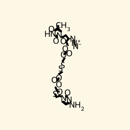 Cc1cn(C2C[C@@H](N=[N+]=[N-])C(COC(=O)OCCSSCCOC(=O)OCC3OC(n4ccc(N)nc4=O)CS3)O2)c(=O)[nH]c1=O